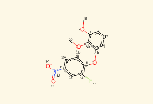 COc1cccc(Oc2ccc([N+](=O)[O-])cc2F)c1OC